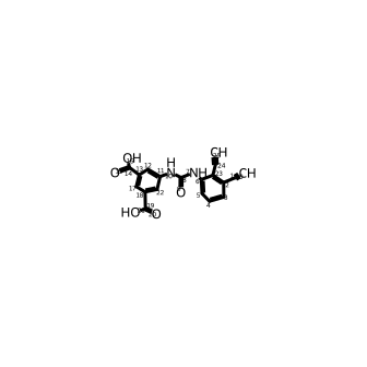 C#Cc1cccc(NC(=O)Nc2cc(C(=O)O)cc(C(=O)O)c2)c1C#C